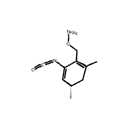 CC(=O)NOCC1=C(C)C[C@H](C)C=C1N=C=O